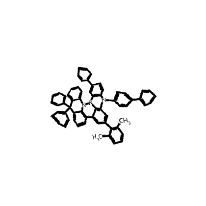 Cc1cccc(C)c1-c1cc2c3c(c1)N(c1ccc(-c4ccccc4)cc1)c1ccc(-c4ccccc4)cc1B3N1c3ccccc3C(c3ccccc3)(c3ccccc3)c3cccc-2c31